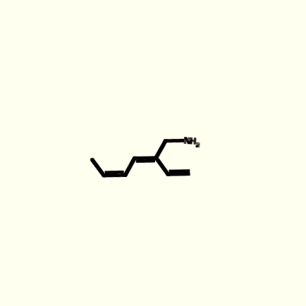 C=C/C(=C\C=C/C)CN